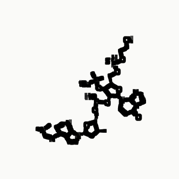 C[C@H]1C[C@H](n2ccc3c(/N=C\N(C)C)ccnc32)O[C@@H]1COP(O)O[C@@H]1C(O[Si](C)(C)C(C)(C)C)[C@@H](CO[PH](=S)OCCC#N)O[C@H]1n1ccc(=O)n2ccnc12